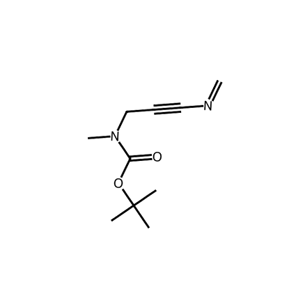 C=NC#CCN(C)C(=O)OC(C)(C)C